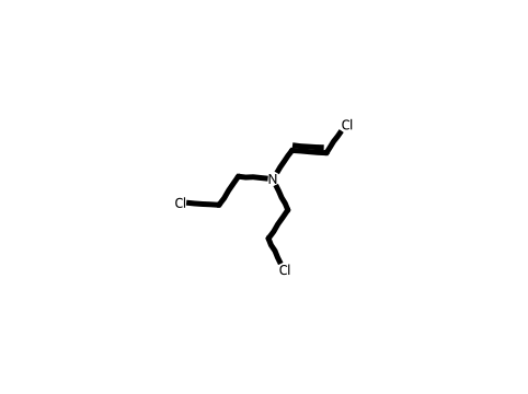 Cl/C=C/N(CCCl)CCCl